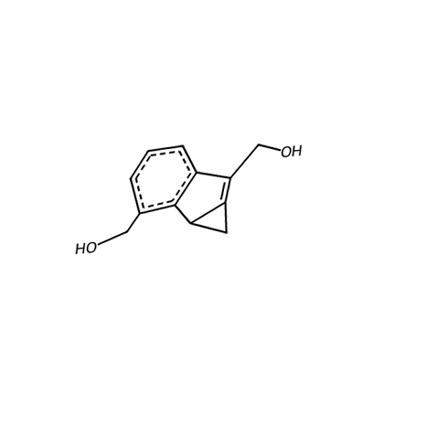 OCC1=C2CC2c2c(CO)cccc21